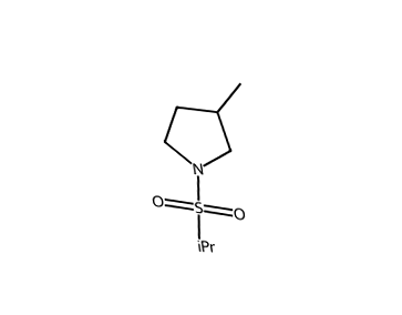 CC1CCN(S(=O)(=O)C(C)C)C1